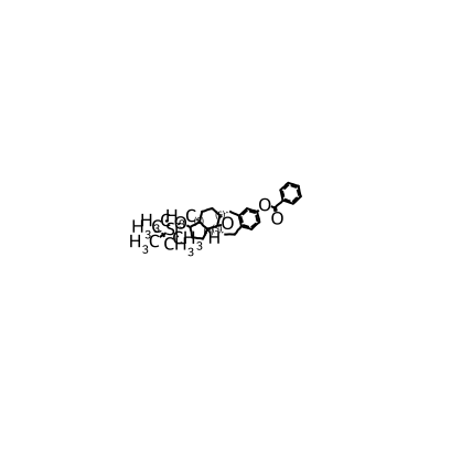 CC(C)(C)[Si](C)(C)OC1CC[C@H]2[C@@]34CCc5ccc(OC(=O)c6ccccc6)cc5C[C@]3(CC[C@]12C)O4